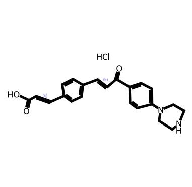 Cl.O=C(O)/C=C/c1ccc(/C=C/C(=O)c2ccc(N3CCNCC3)cc2)cc1